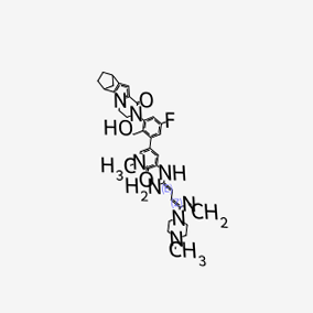 C=N/C(=C\C=C(/N)Nc1cc(-c2cc(F)cc(N3CCn4c(cc5c4C4CCC5C4)C3=O)c2CO)cn(C)c1=O)N1CCN(C)CC1